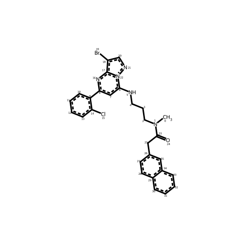 CN(CCCNc1cc(-c2ccccc2Cl)nc2c(Br)cnn12)C(=O)Cc1ccc2ccccc2c1